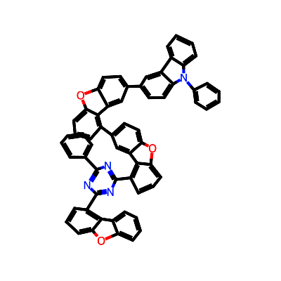 c1ccc(-c2nc(-c3cccc4oc5ccccc5c34)nc(-c3cccc4oc5ccc(-c6cccc7oc8ccc(-c9ccc%10c(c9)c9ccccc9n%10-c9ccccc9)cc8c67)cc5c34)n2)cc1